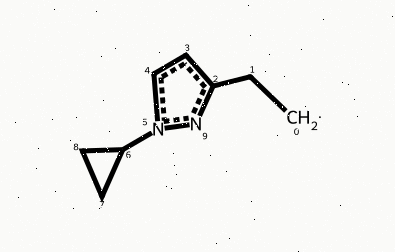 [CH2]Cc1ccn(C2CC2)n1